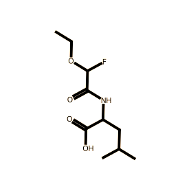 CCOC(F)C(=O)NC(CC(C)C)C(=O)O